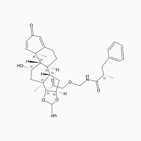 CCCC1O[C@@H]2C[C@H]3[C@@H]4CCC5=CC(=O)C=C[C@]5(C)[C@H]4[C@@H](O)C[C@]3(C)[C@]2(C(=O)COCNC(=O)[C@@H](C)Cc2ccccc2)O1